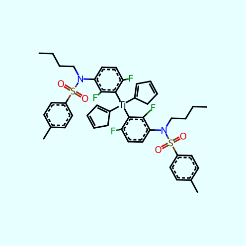 CCCCN(c1ccc(F)[c]([Ti]([C]2=CC=CC2)([C]2=CC=CC2)[c]2c(F)ccc(N(CCCC)S(=O)(=O)c3ccc(C)cc3)c2F)c1F)S(=O)(=O)c1ccc(C)cc1